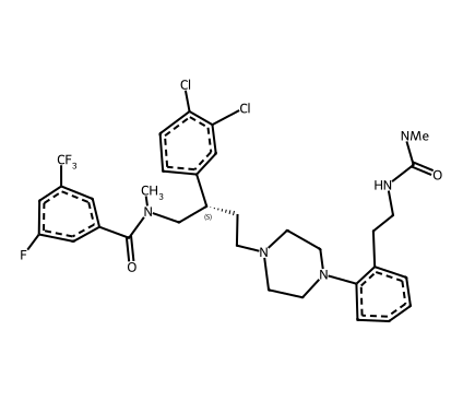 CNC(=O)NCCc1ccccc1N1CCN(CC[C@H](CN(C)C(=O)c2cc(F)cc(C(F)(F)F)c2)c2ccc(Cl)c(Cl)c2)CC1